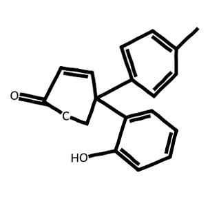 Cc1ccc(C2(c3ccccc3O)C=CC(=O)CC2)cc1